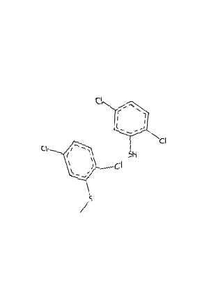 CSc1cc(Cl)ccc1Cl.Sc1cc(Cl)ccc1Cl